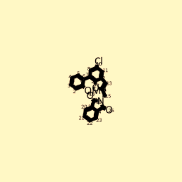 COc1ccccc1-c1cc(Cl)cc2cc(CN3C(=O)c4ccccc4C3=O)oc12